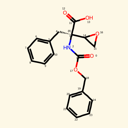 O=C(N[C@@](Cc1ccccc1)(C(=O)O)C1CO1)OCc1ccccc1